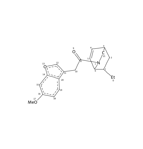 CCC1CC2C=CC1N(C(=O)Cc1coc3cc(OC)ccc13)C2